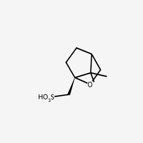 CC1(C)C2CC[C@@]1(CS(=O)(=O)O)OC2